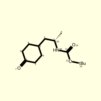 C[C@@H](CC1CCC(=O)CC1)NC(=O)OC(C)(C)C